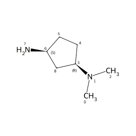 CN(C)[C@@H]1CC[C@H](N)C1